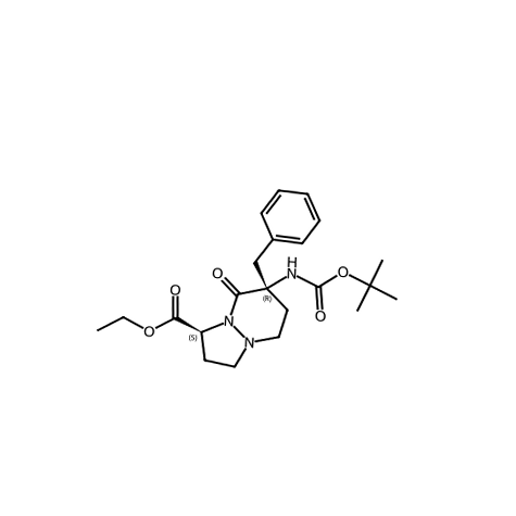 CCOC(=O)[C@@H]1CCN2CC[C@@](Cc3ccccc3)(NC(=O)OC(C)(C)C)C(=O)N12